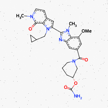 COc1cc(C(=O)N2CCC[C@@H](OC(N)=O)C2)cc2nc(-c3cc4ccn(C)c(=O)c4n3CC3CC3)n(C)c12